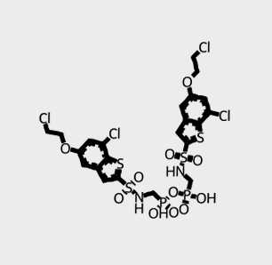 O=P(O)(CNS(=O)(=O)c1cc2cc(OCCCl)cc(Cl)c2s1)OP(=O)(O)CNS(=O)(=O)c1cc2cc(OCCCl)cc(Cl)c2s1